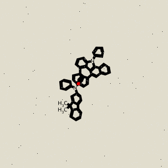 CC1(C)c2ccccc2-c2ccc(N(c3ccccc3)c3ccc(-c4cc5ccccc5c5c4c4c(-c6ccccc6)cccc4n5-c4ccccc4)cc3)cc21